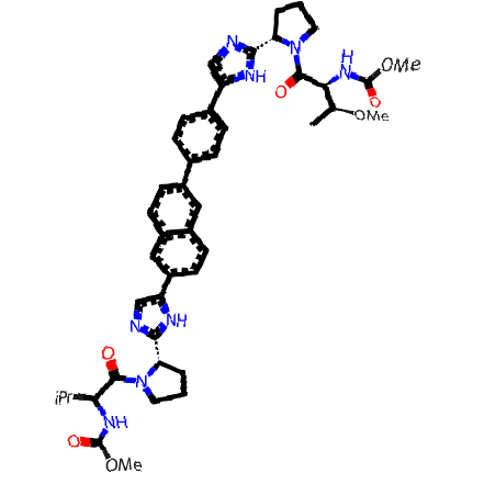 COC(=O)NC(C(=O)N1CCC[C@H]1c1ncc(-c2ccc3cc(-c4ccc(-c5cnc([C@@H]6CCCN6C(=O)[C@@H](NC(=O)OC)[C@H](C)OC)[nH]5)cc4)ccc3c2)[nH]1)C(C)C